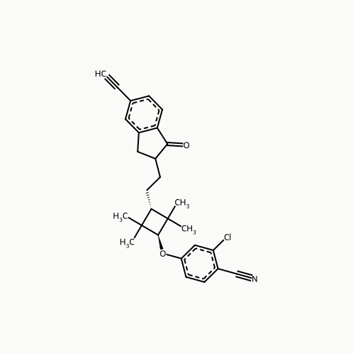 C#Cc1ccc2c(c1)CC(CC[C@H]1C(C)(C)[C@H](Oc3ccc(C#N)c(Cl)c3)C1(C)C)C2=O